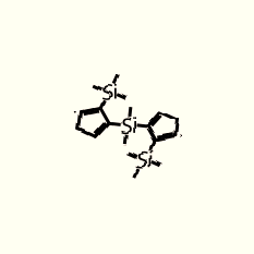 C[Si](C)(C)C1=[C]CC=C1[Si](C)(C)C1=CC[C]=C1[Si](C)(C)C